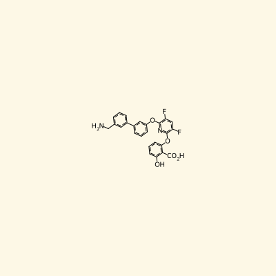 NCc1cccc(-c2cccc(Oc3nc(Oc4cccc(O)c4C(=O)O)c(F)cc3F)c2)c1